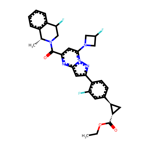 CCOC(=O)[C@H]1C[C@@H]1c1ccc(-c2cc3nc(C(=O)N4CC(F)c5ccccc5[C@H]4C)cc(N4CC(F)C4)n3n2)c(F)c1